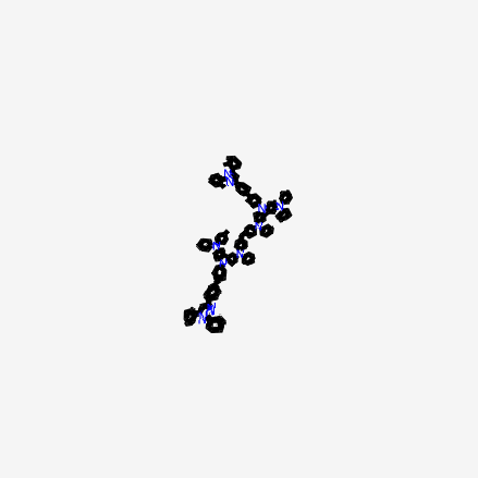 Cc1ccc(N(c2ccccc2)c2ccc3c(c2)c2cc(N(c4ccccc4)c4ccc(Cc5ccc(N(c6ccccc6)c6ccc7c(c6)c6cc(N(c8ccccc8)c8ccccc8)ccc6n7-c6ccc(-c7ccc(-c8cc(-c9ccccc9C)nc(-c9ccccc9C)n8)cc7)cc6)cc5)cc4)ccc2n3-c2ccc(-c3ccc(-c4cc(-c5ccccc5)nc(-c5ccccc5)n4)cc3)cc2)cc1